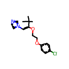 CC(C)(C)C(=Cn1ccnc1)OCCOc1ccc(Cl)cc1